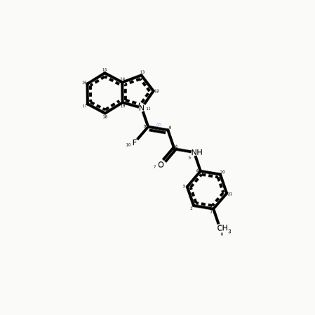 Cc1ccc(NC(=O)/C=C(\F)n2ccc3ccccc32)cc1